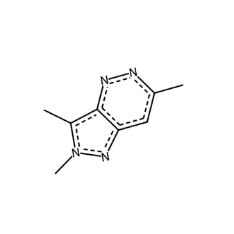 Cc1cc2nn(C)c(C)c2nn1